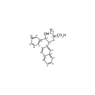 CN(CC(c1ccc2ccccc2c1)C(O)c1cccnc1)C(=O)O